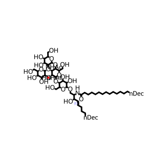 CCCCCCCCCCCCC/C=C/C(O)C(COC1OC(CO)C(OC2OC(CO)C(OC3OC(CO)C(O)C(O)C3NC(C)=O)C(OC3OC(CO)C(O)C(O)C3NC(C)=O)C2O)C(O)C1O)NC(=O)CCCCCCCCCCCCCCCCCCCCCCC